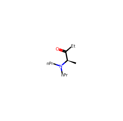 CCCN(CCC)[C@H](C)C(=O)CC